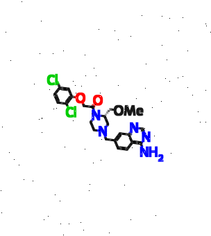 COC[C@@H]1CN(Cc2ccc3c(N)ncnc3c2)CCN1C(=O)COc1cc(Cl)ccc1Cl